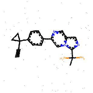 C#CC1(c2ccc(-c3cn4c(C(C)(P)P)ncc4cn3)cc2)CC1